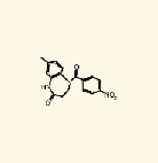 Cc1ccc2c(c1)NC(=O)CCN2C(=O)c1ccc([N+](=O)[O-])cc1